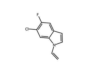 C=Cn1ccc2cc(F)c(Cl)cc21